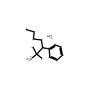 CCCCC(c1ccccc1)C(C)(C)N.Cl